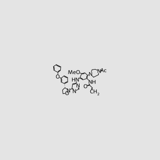 C=CC(=O)Nc1cc(Nc2cc(N3OCC[C@@H]3c3cccc(Oc4ccccc4)c3)ncn2)c(OC)cc1N1CCN(C(C)=O)CC1